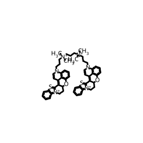 C[N+](C)(CCCN1C=CC2=C3c4sc5ccccc5[n+]4CCC3Oc3cccc1c32)CCC[N+](C)(C)CCCN1C=CC2=C3c4sc5ccccc5[n+]4CCC3Oc3cccc1c32